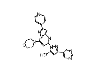 Oc1cc(-c2cncnc2)nn1-c1cc(N2CCOCC2)n2nc(-c3ccncc3)cc2n1